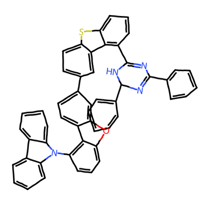 c1ccc(C2=NC(c3ccccc3)NC(c3cccc4sc5ccc(-c6ccc7c(c6)oc6cccc(-n8c9ccccc9c9ccccc98)c67)cc5c34)=N2)cc1